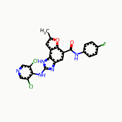 Cc1cc2c(o1)c(C(=O)Nc1ccc(F)cc1)cc1nc(Nc3c(Cl)cncc3Cl)[nH]c12